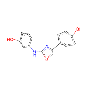 Oc1ccc(-c2coc(Nc3cccc(O)c3)n2)cc1